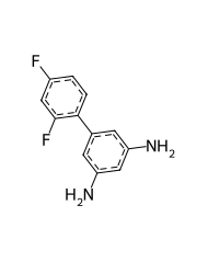 Nc1cc(N)cc(-c2ccc(F)cc2F)c1